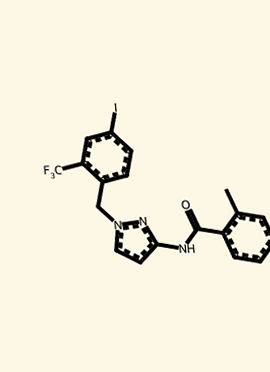 Cc1ccccc1C(=O)Nc1ccn(Cc2ccc(I)cc2C(F)(F)F)n1